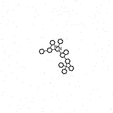 c1ccc(-c2ccc(-c3cc(-c4ccc(-c5ccc6c(c5)C(c5ccccc5)(c5ccccc5)c5ccccc5-6)c5ccccc45)nc(-c4ccccc4)n3)c(-c3ccccc3)c2)cc1